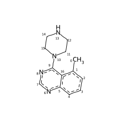 Cc1cccc2ncnc(N3CCNCC3)c12